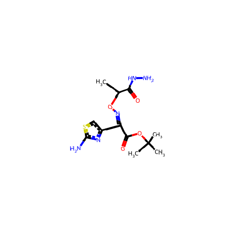 CC(O/N=C(/C(=O)OC(C)(C)C)c1csc(N)n1)C(=O)NN